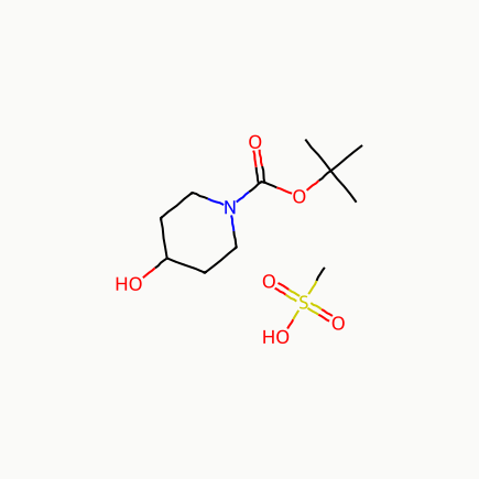 CC(C)(C)OC(=O)N1CCC(O)CC1.CS(=O)(=O)O